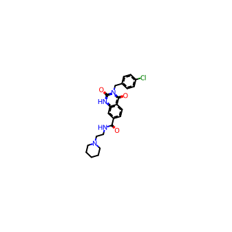 O=C(NCCN1CCCCC1)c1ccc2c(=O)n(Cc3ccc(Cl)cc3)c(=O)[nH]c2c1